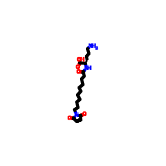 NCCCC[C@H](NC(=O)CCCCCCCCCCN1C(=O)C=CC1=O)C(=O)O